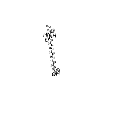 CCCC(=O)NNC(=O)CCCCCCCCCCCCCCC(=O)O